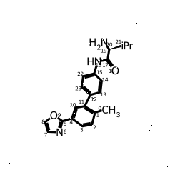 Cc1ccc(-c2ncco2)cc1-c1ccc(NC(=O)[C@@H](N)C(C)C)cc1